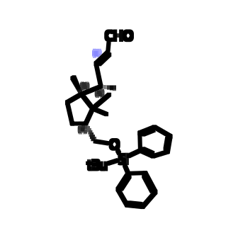 C[C@@H](/C=C/C=O)[C@@]1(C)CC[C@@H](CO[Si](c2ccccc2)(c2ccccc2)C(C)(C)C)C1(C)C